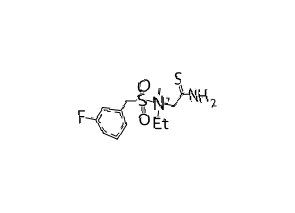 CC[N+](C)(CC(N)=S)S(=O)(=O)Cc1cccc(F)c1